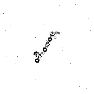 CC[C@@H](C)n1ncn(-c2ccc(N3CCN(c4ccc(OC[C@H]5CO[C@](Cn6cccn6)(c6ccccc6)O5)cc4)CC3)cc2)c1=O